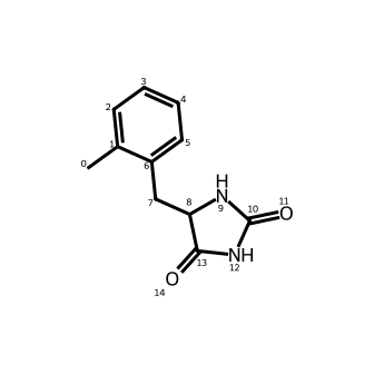 Cc1ccccc1CC1NC(=O)NC1=O